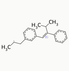 C[CH]Cc1cccc(/C=C(/c2ccccc2)C(C)C)c1